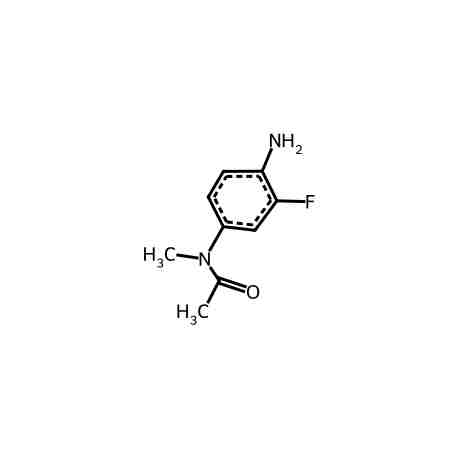 CC(=O)N(C)c1ccc(N)c(F)c1